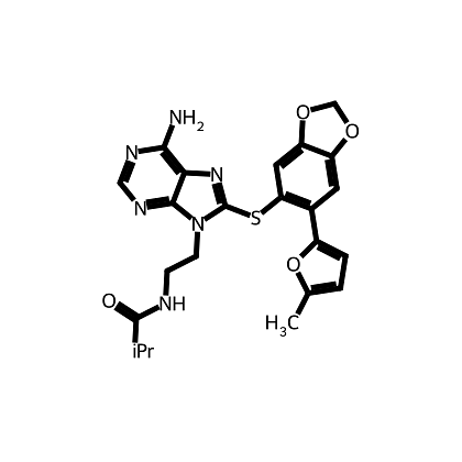 Cc1ccc(-c2cc3c(cc2Sc2nc4c(N)ncnc4n2CCNC(=O)C(C)C)OCO3)o1